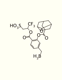 BCc1ccc(C(=O)OC(CS(=O)(=O)O)C(F)(F)F)c(OC(=O)C23CC4CC(C2)C(=O)C(C4)C3)c1